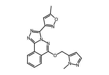 Cc1cc(-c2nnc3c4ccccc4c(OCc4ccnn4C)nn23)no1